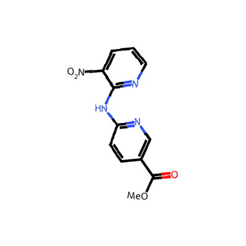 COC(=O)c1ccc(Nc2ncccc2[N+](=O)[O-])nc1